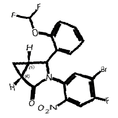 O=C1[C@@H]2C[C@@H]2C(c2ccccc2OC(F)F)N1c1cc(Br)c(F)cc1[N+](=O)[O-]